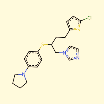 Clc1ccc(CCC(Cn2ccnc2)Sc2ccc(N3CCCC3)cc2)s1